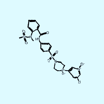 CN(c1ccccc1C(=O)Nc1ccc(S(=O)(=O)N2CC[N+]([O-])(c3cc(Cl)c[n+]([O-])c3)CC2)cc1)S(C)(=O)=O